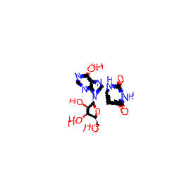 O=c1cc[nH]c(=O)[nH]1.OC[C@H]1O[C@@H](n2cnc3c(O)ncnc32)[C@H](O)[C@@H]1O